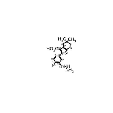 CC1(C)CCc2sc(-c3ccc(F)c(CNN)c3)c(C(=O)O)c2C1